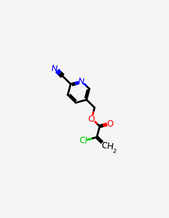 C=C(Cl)C(=O)OCc1ccc(C#N)nc1